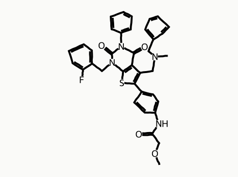 COCC(=O)Nc1ccc(-c2sc3c(c2CN(C)Cc2ccccc2)c(=O)n(-c2ccccc2)c(=O)n3Cc2ccccc2F)cc1